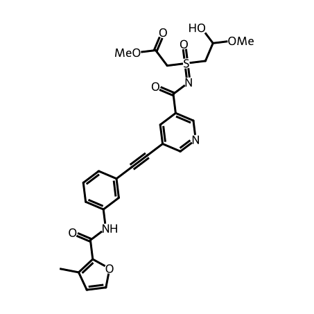 COC(=O)CS(=O)(CC(O)OC)=NC(=O)c1cncc(C#Cc2cccc(NC(=O)c3occc3C)c2)c1